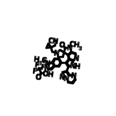 CN1C(=O)C2(CCN(CC3(CC#N)CC3)C2)c2c1cnc1[nH]c(-c3cnn4cccnc34)c(-c3ccc4c(cnn4C)c3)c21.O=C(O)C(F)(F)F